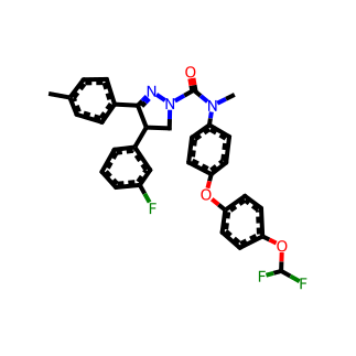 Cc1ccc(C2=NN(C(=O)N(C)c3ccc(Oc4ccc(OC(F)F)cc4)cc3)CC2c2cccc(F)c2)cc1